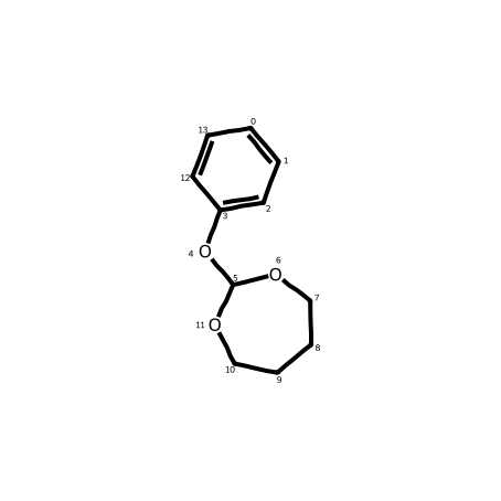 c1ccc(OC2OCCCCO2)cc1